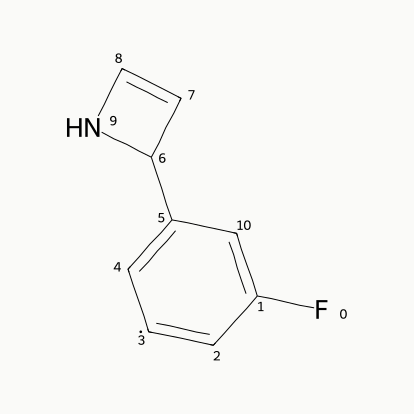 Fc1c[c]cc(C2C=CN2)c1